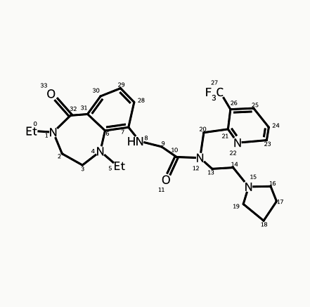 CCN1CCN(CC)c2c(NCC(=O)N(CCN3CCCC3)Cc3ncccc3C(F)(F)F)cccc2C1=O